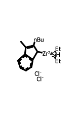 CCCCC1=C(C)c2ccccc2[CH]1[Zr+2][SiH](CC)CC.[Cl-].[Cl-]